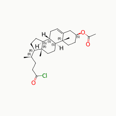 CC(=O)O[C@H]1CC[C@@]2(C)C(=CC[C@H]3[C@@H]4CC[C@H]([C@H](C)CCC(=O)Cl)[C@@]4(C)CC[C@@H]32)C1